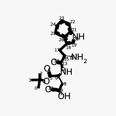 CC(C)(C)OC(=O)[C@H](CC(=O)O)NC(=O)[C@@H](N)Cc1c[nH]c2ccccc12